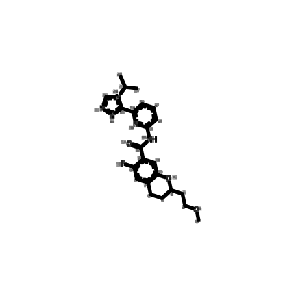 COCCC1CCc2cc(F)c(C(=O)Nc3cccc(-c4nncn4C(C)C)n3)cc2O1